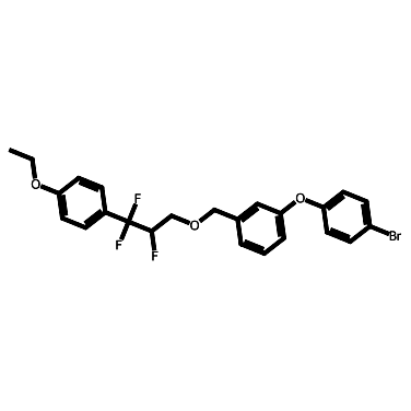 CCOc1ccc(C(F)(F)C(F)COCc2cccc(Oc3ccc(Br)cc3)c2)cc1